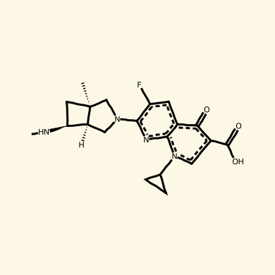 CN[C@H]1C[C@@]2(C)CN(c3nc4c(cc3F)c(=O)c(C(=O)O)cn4C3CC3)C[C@@H]12